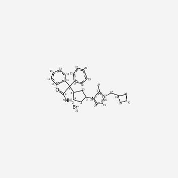 Cc1n(C2CCC(C(C(N)=O)(c3ccccc3)c3ccccc3)C2)cc[n+]1CC1CCC1.[Br-]